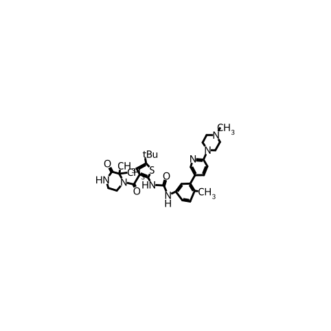 Cc1ccc(NC(=O)Nc2sc(C(C)(C)C)cc2C(=O)N2CCNC(=O)C2(C)C)cc1-c1ccc(N2CCN(C)CC2)nc1